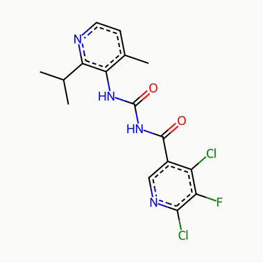 Cc1ccnc(C(C)C)c1NC(=O)NC(=O)c1cnc(Cl)c(F)c1Cl